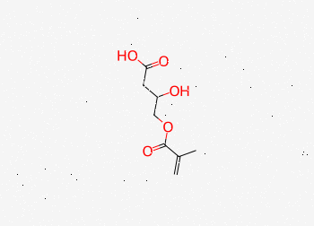 C=C(C)C(=O)OCC(O)CC(=O)O